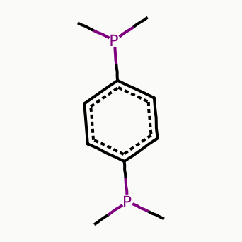 CP(C)c1ccc(P(C)C)cc1